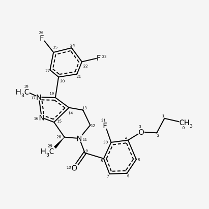 CCCOc1cccc(C(=O)N2CCc3c(nn(C)c3-c3cc(F)cc(F)c3)[C@@H]2C)c1F